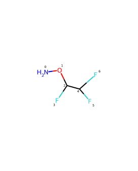 NOC(F)C(F)F